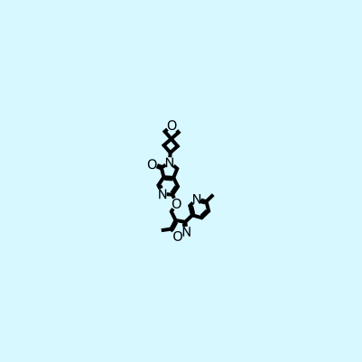 Cc1ccc(-c2noc(C)c2COc2cc3c(cn2)C(=O)N(C2CC4(COC4)C2)C3)cn1